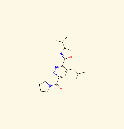 CC(C)Cc1cc(C(=O)N2CCCC2)nnc1C1=NC(C(C)C)CO1